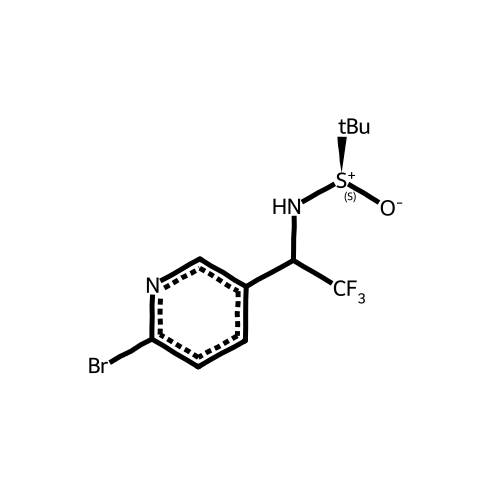 CC(C)(C)[S@@+]([O-])NC(c1ccc(Br)nc1)C(F)(F)F